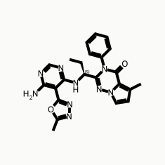 CC[C@H](Nc1ncnc(N)c1-c1nnc(C)o1)c1nn2ccc(C)c2c(=O)n1-c1ccccc1